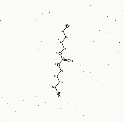 O=C(OCCCCBr)OCCCCBr